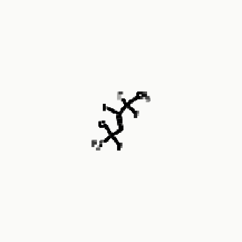 FC(=CC(F)(Cl)C(F)(F)F)C(F)(F)C(F)(F)F